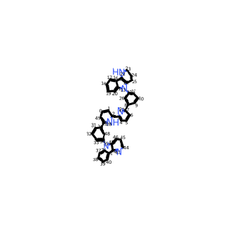 C1=CC(c2cccc(-c3cccc(-n4c5c(c6ccccc64)NCC=C5)c3)n2)NC(c2cccc(-n3c4ccccc4c4ncccc43)c2)=C1